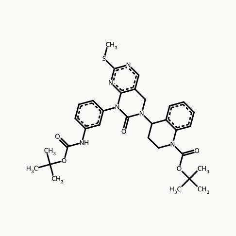 CSc1ncc2c(n1)N(c1cccc(NC(=O)OC(C)(C)C)c1)C(=O)N(C1CCN(C(=O)OC(C)(C)C)c3ccccc31)C2